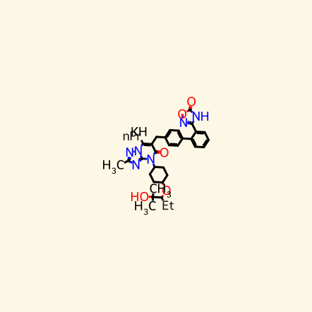 CCCc1c(Cc2ccc(-c3ccccc3-c3noc(=O)[nH]3)cc2)c(=O)n(C2CCC(OC(CC)C(C)(C)O)CC2)c2nc(C)nn12.[KH]